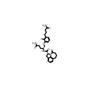 NC(=O)CCCc1cccc(OC[C@H](CCC(N)=O)NC(=O)[C@@H]2Cc3cccc4c3N2C(=O)CCC4)c1F